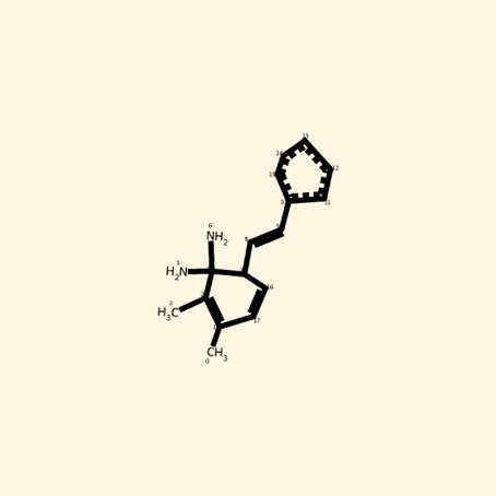 CC1=C(C)C(N)(N)C(C=Cc2ccccc2)C=C1